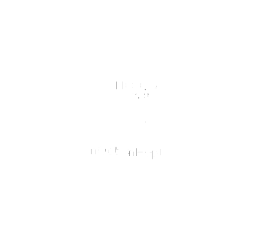 CCCCCCCCC(CCCCCCC)CCCCC(C)CC(C)C(C)(C)C(=O)O